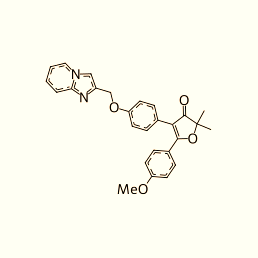 COc1ccc(C2=C(c3ccc(OCc4cn5ccccc5n4)cc3)C(=O)C(C)(C)O2)cc1